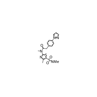 CNS(=O)(=O)c1sc(N(C)C(=O)Cc2ccc(-n3cccn3)cc2)nc1C